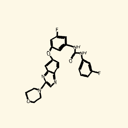 O=C(Nc1cccc(F)c1)Nc1cc(F)cc(Oc2ccc3ncc(N4CCOCC4)nc3c2)c1